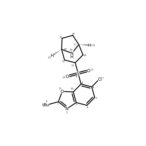 CC(C)(C)c1nc2ccc(Cl)c(S(=O)(=O)C3C[C@H]4CC[C@@H](C3)N4)c2o1